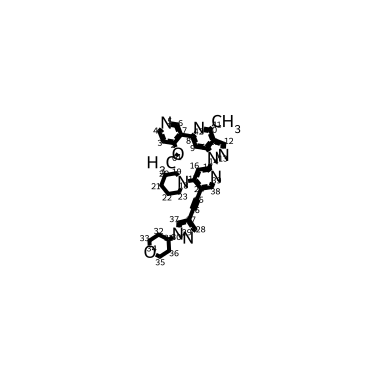 COc1ccncc1-c1cc2c(cnn2-c2cc(N3CCCCC3)c(C#Cc3cnn(C4CCOCC4)c3)cn2)c(C)n1